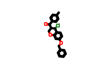 Cc1ccc(C(=O)C2COc3cc(OCc4ccccc4)ccc3C2Cl)cc1